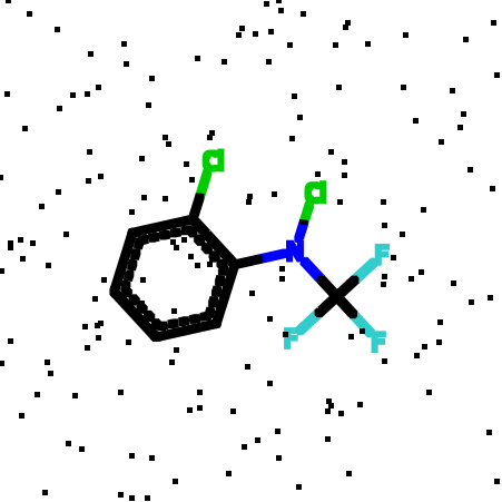 FC(F)(F)N(Cl)c1ccccc1Cl